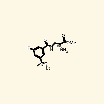 CCO[C@@H](C)c1cc(F)cc(C(=O)NC[C@@H](N)C(=O)OC)c1